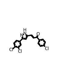 O=C(C=Cc1cc(-c2ccc(Cl)c(Cl)c2)n[nH]1)c1ccc(Cl)cc1